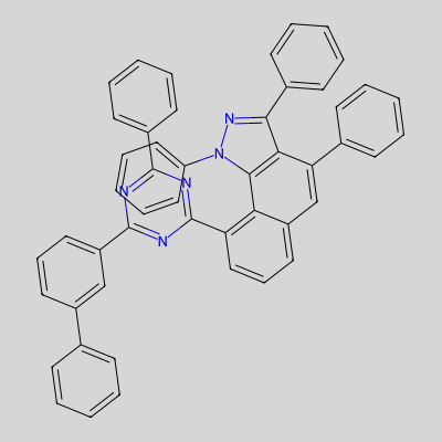 c1ccc(-c2cccc(-c3nc(-c4ccccc4)nc(-c4cccc5cc(-c6ccccc6)c6c(-c7ccccc7)nn(-c7ccccc7)c6c45)n3)c2)cc1